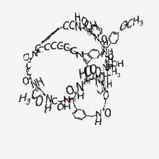 COc1ccc(C[C@@H]2NC(=O)[C@H]([C@@H](C)O)NC(=O)[C@@H]3[C@@H]4CCN3C(=O)[C@@H]3Cc5cn(c6ccc(F)cc56)CCCCCCN(Cc5ccc(cc5)CCNC(=O)[C@]5(C)CCCN5C2=O)C(=O)CCC(=O)N[C@@H](C)C(=O)NCC(=O)N[C@@H](Cc2cccc(c2)CNC(=O)CO4)C(=O)N3)cc1